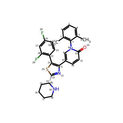 Cc1cccc(C)c1-n1cc(-c2nc([C@H]3CCCCN3)sc2-c2ccc(F)cc2F)ccc1=O